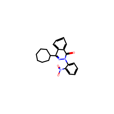 O=c1c2ccccc2c(C2CCCCCC2)nn1-c1ccccc1[N+](=O)[O-]